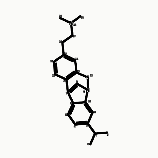 CC(C)c1ccc2c3cn(c2c1)Sc1cc(CCN(C)C)ccc1-3